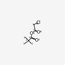 CC(C)(C)C(=O)OC(=O)CCl